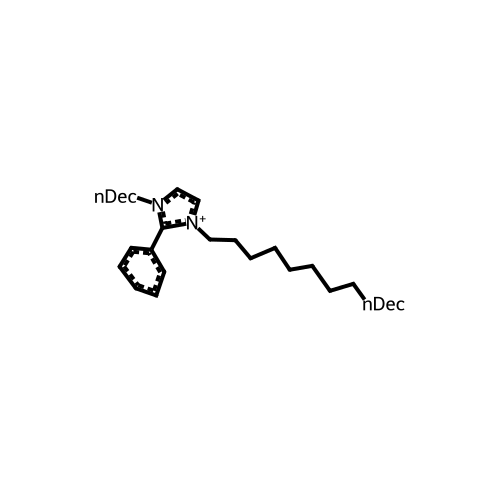 CCCCCCCCCCCCCCCCCC[n+]1ccn(CCCCCCCCCC)c1-c1ccccc1